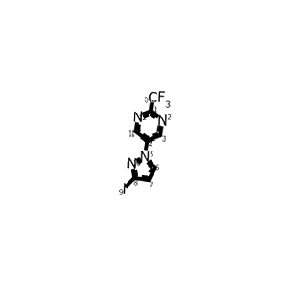 FC(F)(F)c1ncc(-n2ccc(I)n2)cn1